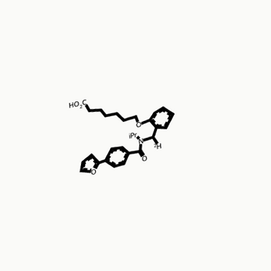 [2H]C(c1ccccc1OCCCCCCC(=O)O)N(C(=O)c1ccc(-c2ccco2)cc1)C(C)C